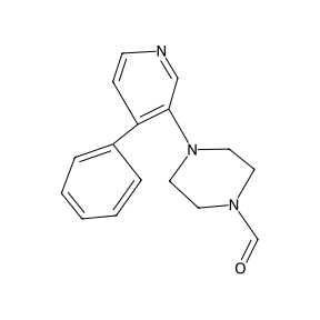 O=CN1CCN(c2cnccc2-c2ccccc2)CC1